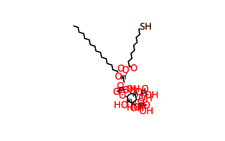 CCCCCCCCCCCCCCCC(=O)O[C@H](COC(=O)CCCCCCCCCS)COP(=O)(O)OC1C(O)[C@@H](OP(=O)(O)O)C(OP(=O)(O)O)[C@@H](O)[C@H]1O